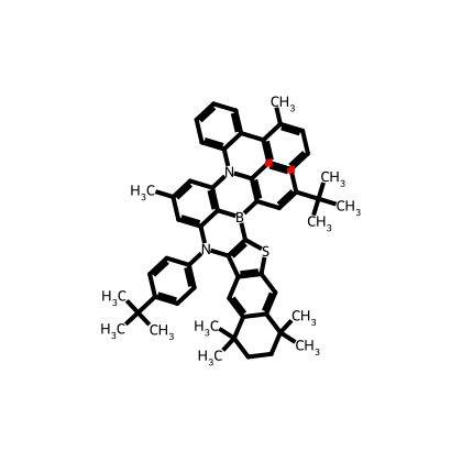 Cc1cc2c3c(c1)N(c1ccc(C(C)(C)C)cc1)c1c(sc4cc5c(cc14)C(C)(C)CCC5(C)C)B3c1cc(C(C)(C)C)ccc1N2c1ccccc1-c1ccccc1C